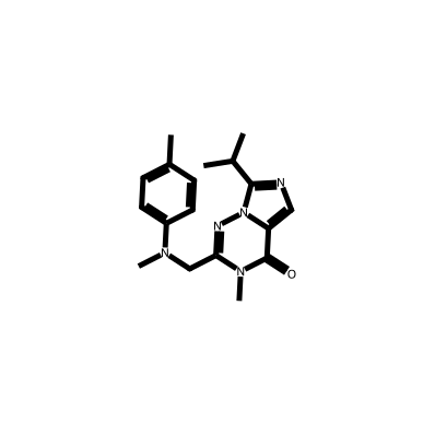 Cc1ccc(N(C)Cc2nn3c(C(C)C)ncc3c(=O)n2C)cc1